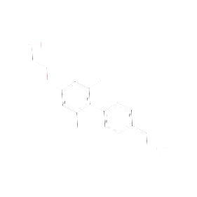 Cc1cc(OCCO)cc(C)c1-c1ccc(CC(=O)O)cc1